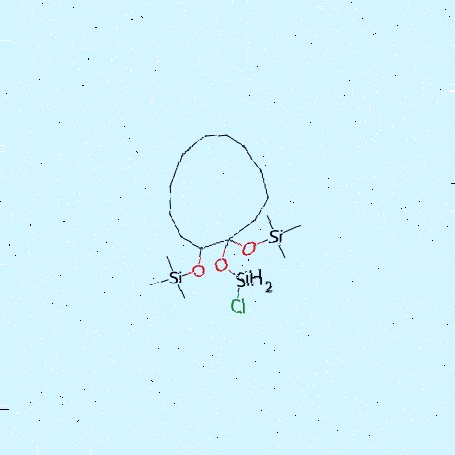 C[Si](C)(C)OC1CCCCCCCCCCC1(O[SiH2]Cl)O[Si](C)(C)C